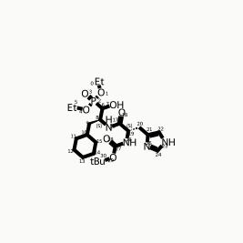 CCOP(=O)(OCC)C(O)[C@H](CC1CCCCC1)NC(=O)[C@H](Cc1c[nH]cn1)NC(=O)OC(C)(C)C